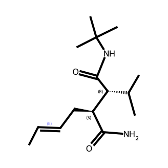 C/C=C/C[C@H](C(N)=O)[C@H](C(=O)NC(C)(C)C)C(C)C